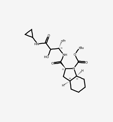 CCC[C@H](NC(=O)[C@@H]1C[C@@H]2CCCC[C@@H]2N1C(=O)OC(C)(C)C)C(O)C(=O)NC1CC1